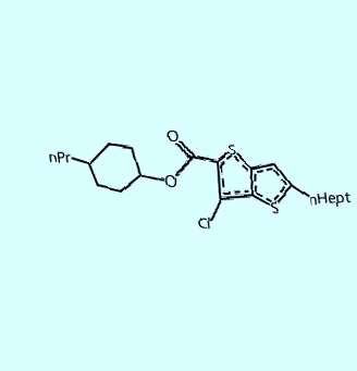 CCCCCCCc1cc2sc(C(=O)OC3CCC(CCC)CC3)c(Cl)c2s1